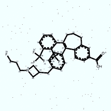 O=C(O)c1ccc2c(c1)CCCC(c1cccc(C(F)(F)F)c1C(F)(F)F)=C2c1ccc(CC2CN(CCCF)C2)cc1